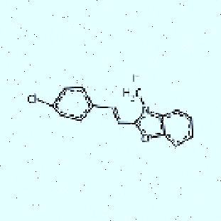 C[n+]1c(C=Cc2ccc(Cl)cc2)oc2ccccc21.[I-]